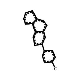 Clc1ccc(-c2ccc3c(ccc4ccccc43)c2)cc1